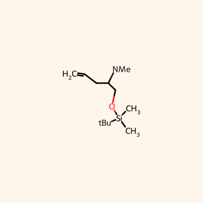 C=CCC(CO[Si](C)(C)C(C)(C)C)NC